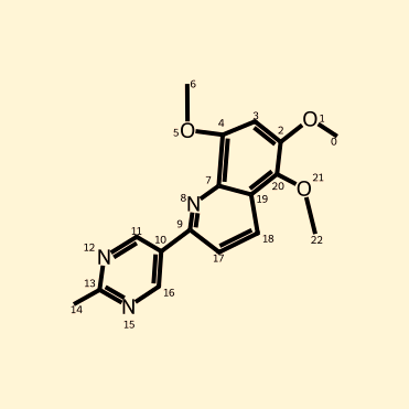 COc1cc(OC)c2nc(-c3cnc(C)nc3)ccc2c1OC